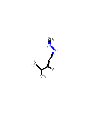 C=N/N=C\C=C(/C)C(C)C